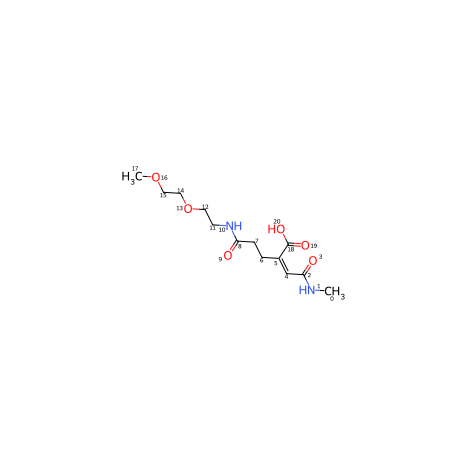 CNC(=O)/C=C(/CCC(=O)NCCOCCOC)C(=O)O